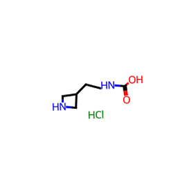 Cl.O=C(O)NCCC1CNC1